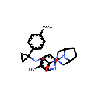 COc1ccc(C2(NCC(=O)N3CC4CCC(C3)N4c3ccc(C#N)cn3)CC2)cc1